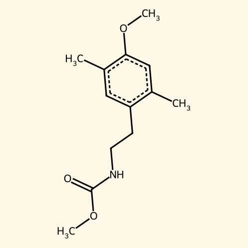 COC(=O)NCCc1cc(C)c(OC)cc1C